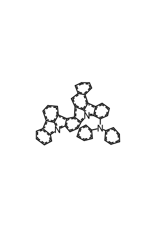 c1ccc(N(c2ccccc2)c2cccc3c4c5ccccc5cc5c6c7c8cccc9c%10ccccc%10n(c7ccc6n(c23)c54)c98)cc1